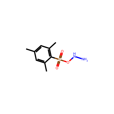 Cc1cc(C)c(S(=O)(=O)ONN)c(C)c1